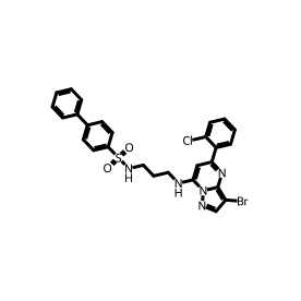 O=S(=O)(NCCCNc1cc(-c2ccccc2Cl)nc2c(Br)cnn12)c1ccc(-c2ccccc2)cc1